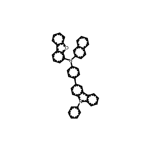 c1ccc(-n2c3ccccc3c3cc(-c4ccc(N(c5ccc6ccccc6c5)c5cccc6c5oc5ccccc56)cc4)ccc32)cc1